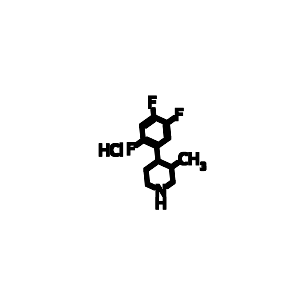 CC1CNCCC1c1cc(F)c(F)cc1F.Cl